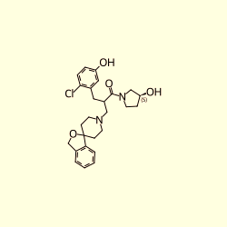 O=C(C(Cc1cc(O)ccc1Cl)CN1CCC2(CC1)OCc1ccccc12)N1CC[C@H](O)C1